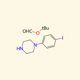 CC(C)(C)OC=O.Ic1ccc(N2CCNCC2)cc1